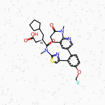 CN(C(=O)[C@@H](CC(=O)O)CC1CCCC1)c1nc(-c2cc(OCF)ccc2-c2cnc3c(c2)CCC(=O)N3C)cs1